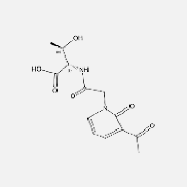 CC(=O)c1cccn(CC(=O)N[C@H](C(=O)O)[C@@H](C)O)c1=O